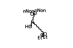 CCCCCCCCCC(CCCCCCCCC)OC(=O)CCCCN(CCO)CCCCCCCCCC(=O)OC(CC)CC